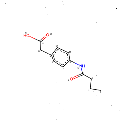 CCCC(=O)Nc1ccc(CC(=O)O)cc1